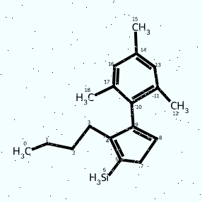 CCCCC1=C([SiH3])CC=C1c1c(C)cc(C)cc1C